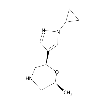 C[C@H]1CNC[C@@H](c2cnn(C3CC3)c2)O1